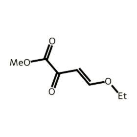 CCO/C=C/C(=O)C(=O)OC